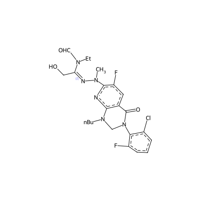 CCCCN1CN(c2c(F)cccc2Cl)C(=O)c2cc(F)c(N(C)/N=C(/CO)N(C=O)CC)nc21